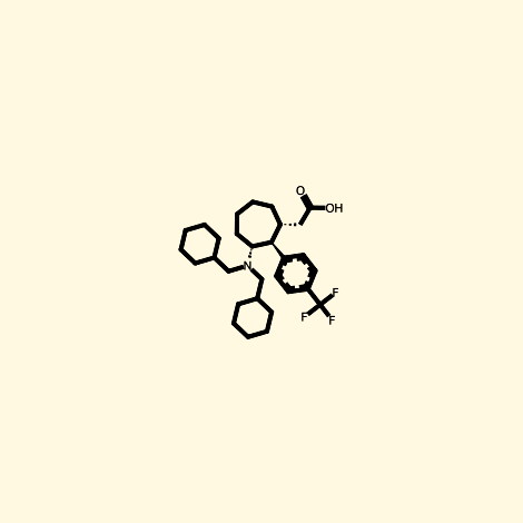 O=C(O)C[C@H]1CCCC[C@@H](N(CC2CCCCC2)CC2CCCCC2)[C@@H]1c1ccc(C(F)(F)F)cc1